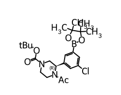 CC(=O)N1CCN(C(=O)OC(C)(C)C)C[C@H]1c1cc(Cl)cc(B2OC(C)(C)C(C)(C)O2)c1